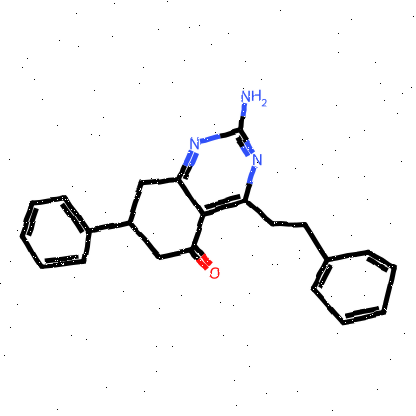 Nc1nc(CCc2ccccc2)c2c(n1)CC(c1ccccc1)CC2=O